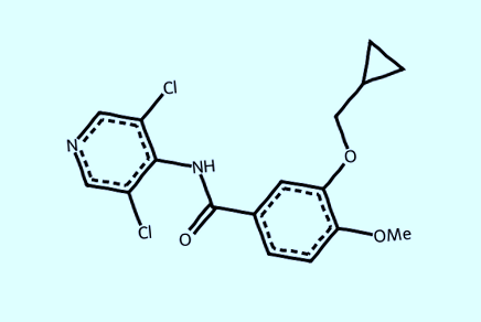 COc1ccc(C(=O)Nc2c(Cl)cncc2Cl)cc1OCC1CC1